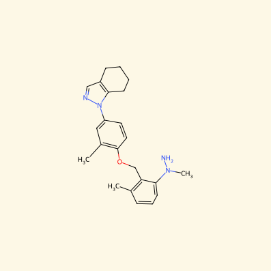 Cc1cc(-n2ncc3c2CCCC3)ccc1OCc1c(C)cccc1N(C)N